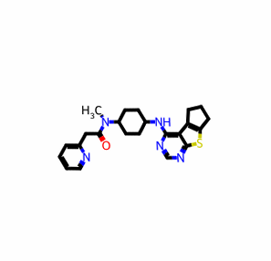 CN(C(=O)Cc1ccccn1)C1CCC(Nc2ncnc3sc4c(c23)CCC4)CC1